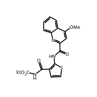 CCOC(=O)NC(=O)c1ccsc1NC(=O)c1cc(OC)c2ccccc2n1